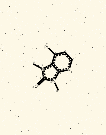 CC(C)c1ccnc2c1n(C)c(=O)n2C